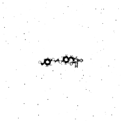 O=Cc1ccc(OCCOc2ccc(/C=C3/SC(=O)NC3=O)cc2)cc1